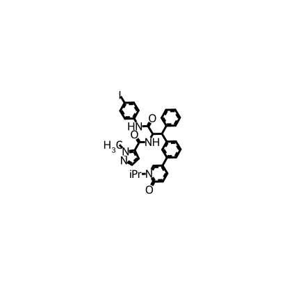 CC(C)n1cc(-c2cccc(C(c3ccccc3)C(NC(=O)c3ccnn3C)C(=O)Nc3ccc(I)cc3)c2)ccc1=O